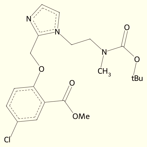 COC(=O)c1cc(Cl)ccc1OCc1nccn1CCN(C)C(=O)OC(C)(C)C